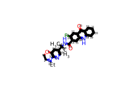 CCN1CCOc2cc(C(C)(C)NC(=O)c3cc4[nH]c5ccccc5c(=O)c4cc3F)cnc21